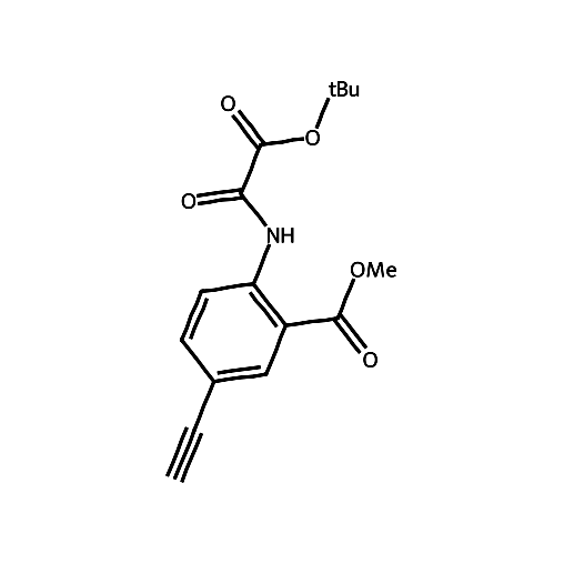 C#Cc1ccc(NC(=O)C(=O)OC(C)(C)C)c(C(=O)OC)c1